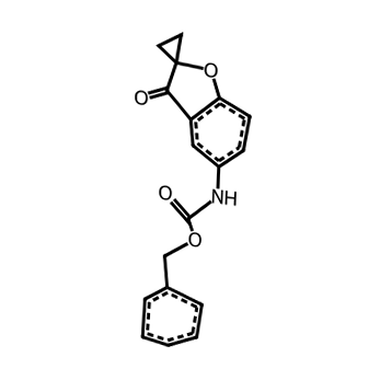 O=C(Nc1ccc2c(c1)C(=O)C1(CC1)O2)OCc1ccccc1